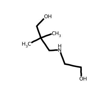 CC(C)(CO)CNCCO